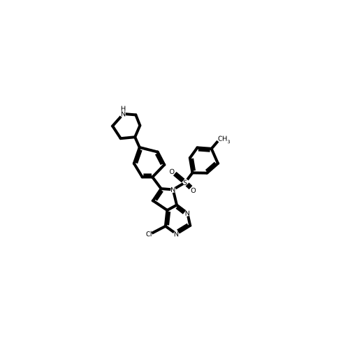 Cc1ccc(S(=O)(=O)n2c(-c3ccc(C4CCNCC4)cc3)cc3c(Cl)ncnc32)cc1